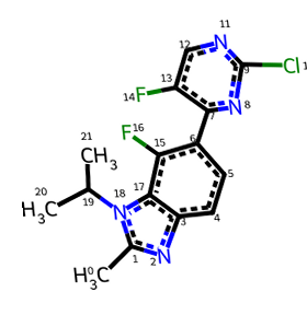 Cc1nc2ccc(-c3nc(Cl)ncc3F)c(F)c2n1C(C)C